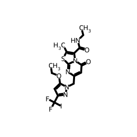 CCNC(=O)c1c(C)sc2nc(Cn3nc(C(F)(F)I)cc3OCC)cc(=O)n12